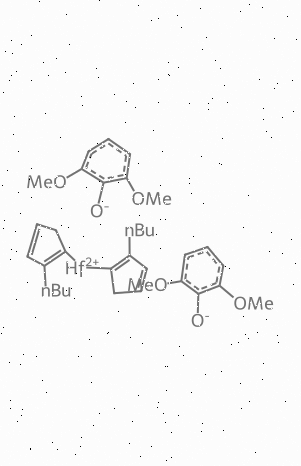 CCCCC1=[C]([Hf+2][C]2=C(CCCC)C=CC2)CC=C1.COc1cccc(OC)c1[O-].COc1cccc(OC)c1[O-]